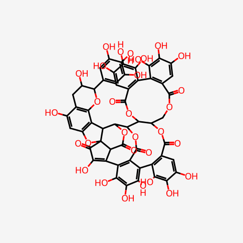 O=C1OCC2OC(=O)c3cc(O)c(O)c(O)c3-c3c(O)c(O)c(O)c4c3C(=O)OC(C2OC(=O)c2cc(O)c(O)c(O)c2-c2c1cc(O)c(O)c2O)C1OC(=O)C2C4=C(O)C(=O)C23Oc2cc(O)c4c(c2C13)OC(c1cc(O)c(O)c(O)c1)C(O)C4